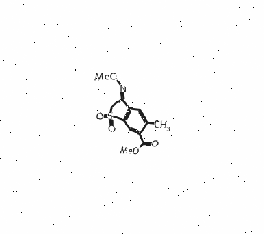 CO/N=C1\CS(=O)(=O)c2cc(C(=O)OC)c(C)cc21